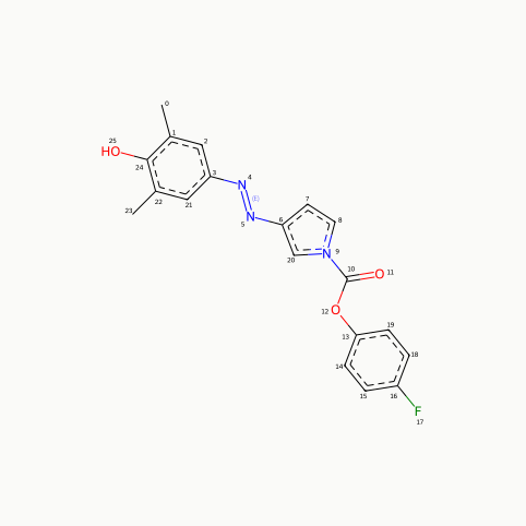 Cc1cc(/N=N/c2ccn(C(=O)Oc3ccc(F)cc3)c2)cc(C)c1O